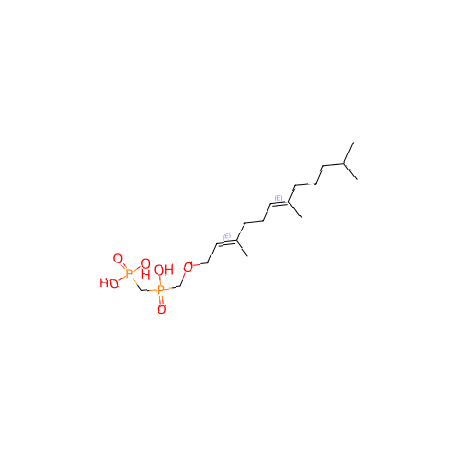 C/C(=C\COCP(=O)(O)CP(=O)(O)O)CC/C=C(\C)CCCC(C)C